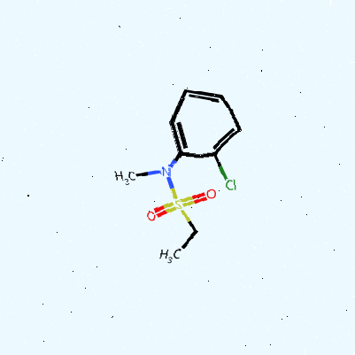 CCS(=O)(=O)N(C)c1ccccc1Cl